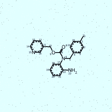 [CH]c1ccc(CN(C(=O)OCc2cccnc2)c2ccccc2N)cc1